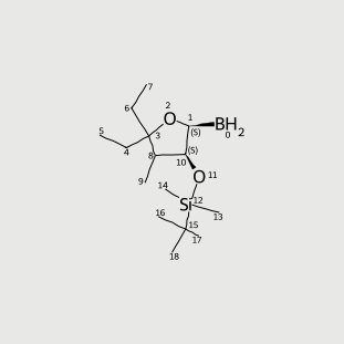 B[C@@H]1OC(CC)(CC)C(C)[C@@H]1O[Si](C)(C)C(C)(C)C